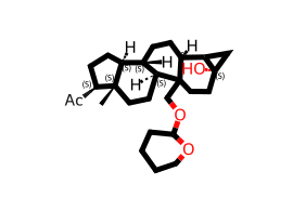 CC(=O)[C@H]1CC[C@H]2[C@@H]3CC[C@H]4C5C[C@@]5(O)CCC4(COC4CCCCO4)[C@H]3CC[C@]12C